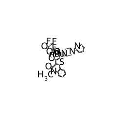 CCCCOc1c(C(=O)N2CCN(c3ccccn3)CC2)sc2c1c(=O)n(C)c1ccccc21.O=C(O)C(F)(F)F